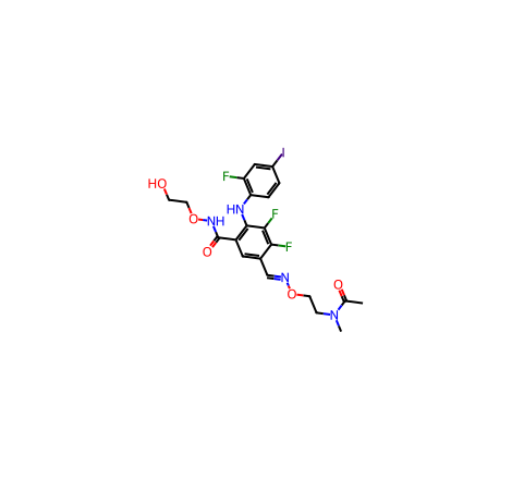 CC(=O)N(C)CCO/N=C/c1cc(C(=O)NOCCO)c(Nc2ccc(I)cc2F)c(F)c1F